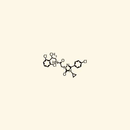 CC(CNC(=O)Cn1nc(-c2ccc(Cl)cc2)n(C2CC2)c1=O)c1c(Cl)cccc1Cl